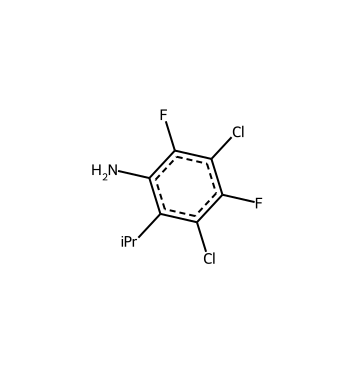 CC(C)c1c(N)c(F)c(Cl)c(F)c1Cl